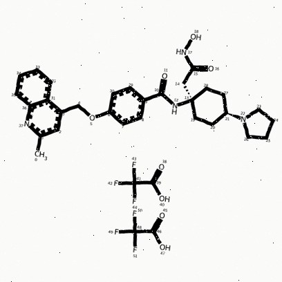 Cc1cc(COc2ccc(C(=O)N[C@]3(CC(=O)NO)CC[C@H](N4CCCC4)CC3)cc2)c2ccccc2n1.O=C(O)C(F)(F)F.O=C(O)C(F)(F)F